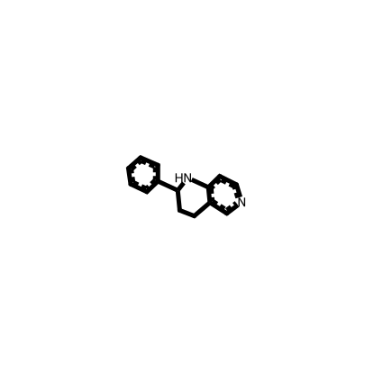 c1ccc(C2CCc3cnccc3N2)cc1